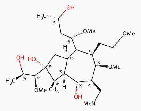 CNC[C@H]1[C@H](O)[C@H]2[C@@H](C)[C@@](O)([C@@H](OC)[C@@H](C)O)C[C@H]2C([C@H](C[C@H](C)O)OC)[C@@H](CCOC)[C@H]1OC